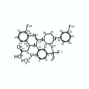 CSc1ccc(C(F)(F)F)cc1N1C(N2CCN(c3cccc(F)c3)CC2)=Nc2c(F)cccc2C1CC(=O)O